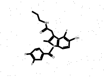 CCCNC(=O)Cc1c(C)n(C(=O)c2ccc(F)c(F)c2)c2ccc(O)c(F)c12